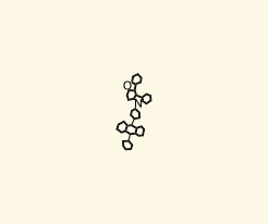 c1ccc(-c2c3ccccc3c(-c3ccc(-n4c5ccccc5c5c6c(ccc54)oc4ccccc46)cc3)c3ccccc23)cc1